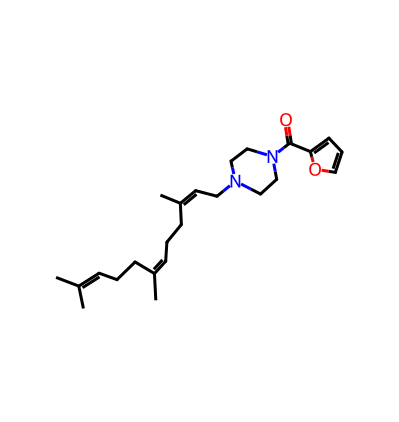 CC(C)=CCCC(C)=CCCC(C)=CCN1CCN(C(=O)c2ccco2)CC1